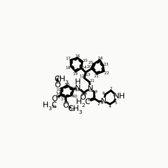 C=C(CN1CCNCC1)CN(CCC(c1ccccc1)c1ccccc1)C(=O)Nc1cc(OC)c(OC)c(OC)c1